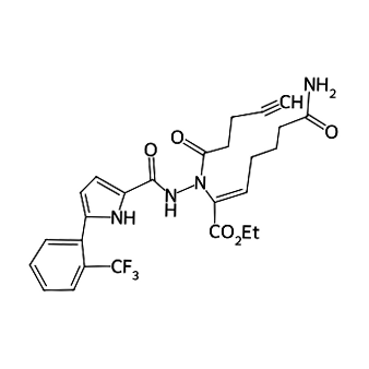 C#CCCC(=O)N(NC(=O)c1ccc(-c2ccccc2C(F)(F)F)[nH]1)/C(=C\CCCC(N)=O)C(=O)OCC